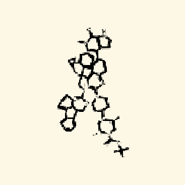 C[C@@H]1CN(C2CCN(c3nc(C(CNC(=O)OCC4c5ccccc5-c5ccccc54)(OC4CC4)c4ccccc4F)c4cc(-c5cn(C)c(=O)c6[nH]ccc56)ccc4n3)CC2)[C@@H](C)CN1C(=O)OC(C)(C)C